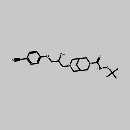 CC(C)(C)ONC(=O)N1CC2CC(CN(CC(O)COc3ccc(C#N)cc3)C2)C1